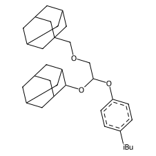 CCC(C)c1ccc(OC(COCC23CC4CC(CC(C4)C2)C3)OC2C3CC4CC(C3)CC2C4)cc1